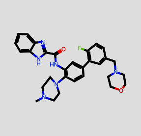 CN1CCN(c2ccc(-c3cc(CN4CCOCC4)ccc3F)cc2NC(=O)c2nc3ccccc3[nH]2)CC1